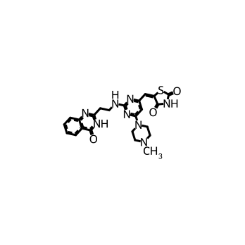 CN1CCN(c2cc(C=C3SC(=O)NC3=O)nc(NCCc3nc4ccccc4c(=O)[nH]3)n2)CC1